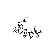 CC(C)(C)OC(=O)n1c(-c2cc(-c3cncc(NC(=O)C4CC4)c3)n(C(C)(C)C)n2)cc2c(N3CCCCC3)cccc21